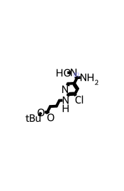 CC(C)(C)OC(=O)CCCNc1ncc(/C(N)=N\O)cc1Cl